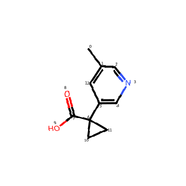 Cc1cncc(C2(C(=O)O)CC2)c1